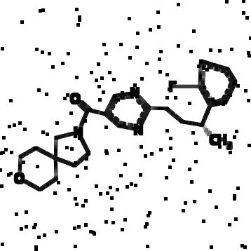 C[C@H](CCc1ncc(C(=O)N2CCC3(CCOCC3)C2)cn1)c1ccccc1F